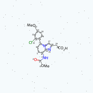 COC(=O)Nc1ccc(-c2ccc(OC)cc2Cl)n2cc(CC(=O)O)nc12